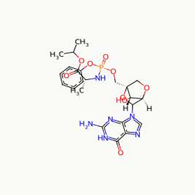 CC(C)OC(=O)[C@@H](C)NP(=O)(OC[C@@]12CO[C@@H](C(n3cnc4c(=O)[nH]c(N)nc43)O1)[C@@H]2O)Oc1ccccc1